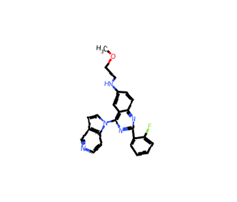 COCCNc1ccc2nc(-c3ccccc3F)nc(-n3ccc4cnccc43)c2c1